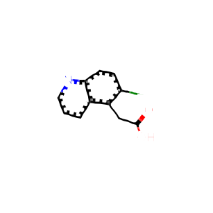 O=C(O)Cc1c(F)ccc2ncccc12